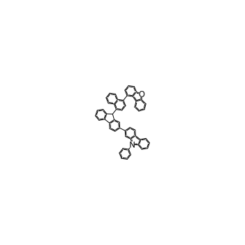 c1ccc(-n2c3ccccc3c3ccc(-c4ccc5c(c4)C(c4ccc(-c6cccc7oc8ccccc8c67)c6ccccc46)c4ccccc4-5)cc32)cc1